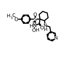 COc1ccc(S(=O)(=O)C2(C(=O)NO)CCCCC2NCc2cccnc2)cc1